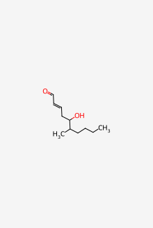 CCCCC(C)C(O)CC=CC=O